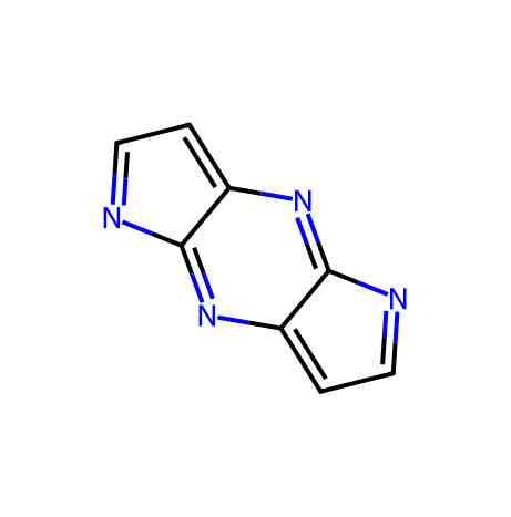 C1=Nc2nc3c(nc2=C1)N=CC=3